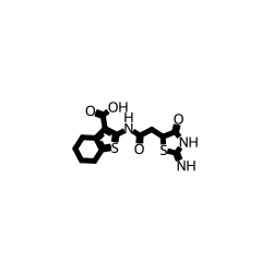 N=C1NC(=O)C(CC(=O)Nc2sc3c(c2C(=O)O)CCCC3)S1